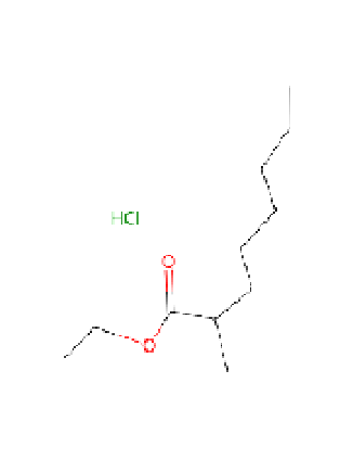 CCCCCCC(C)C(=O)OCC.Cl